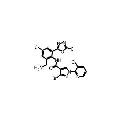 NCc1cc(Cl)cc(-c2nnc(Cl)o2)c1NC(=O)c1cn(-c2ncccc2Cl)nc1Br